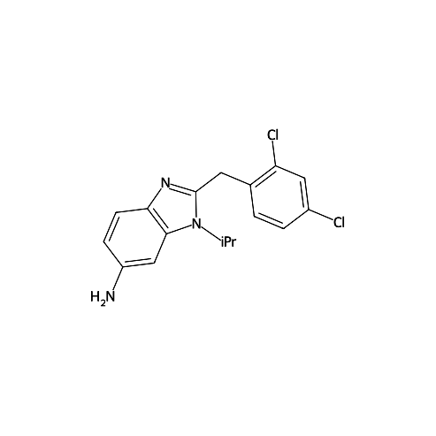 CC(C)n1c(Cc2ccc(Cl)cc2Cl)nc2ccc(N)cc21